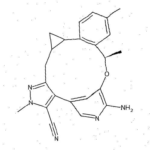 Cc1ccc2c(c1)[C@@H](C)Oc1cc(cnc1N)-c1c(nn(C)c1C#N)CC1CC21